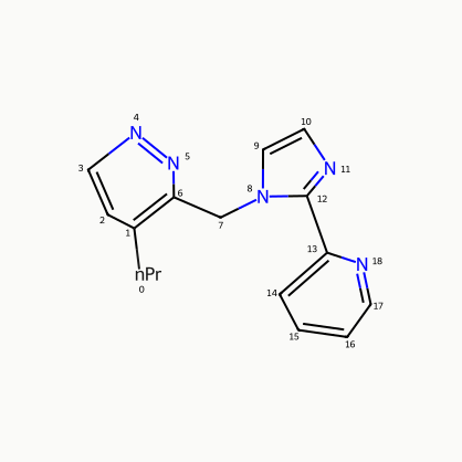 CCCc1ccnnc1Cn1ccnc1-c1ccccn1